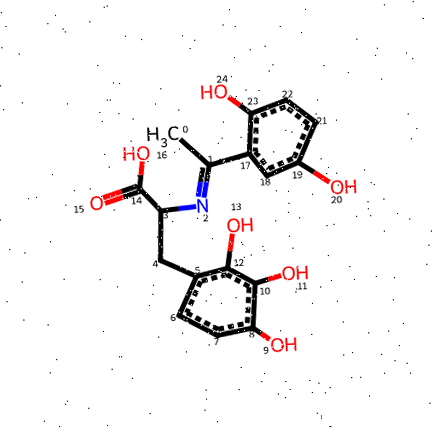 CC(=NC(Cc1ccc(O)c(O)c1O)C(=O)O)c1cc(O)ccc1O